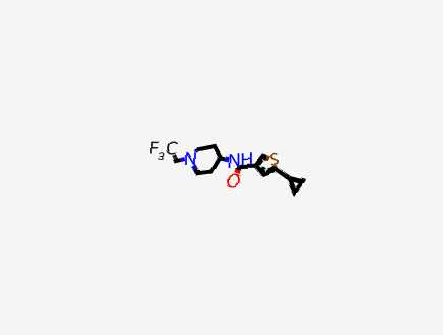 O=C(NC1CCN(CC(F)(F)F)CC1)c1csc(C2CC2)c1